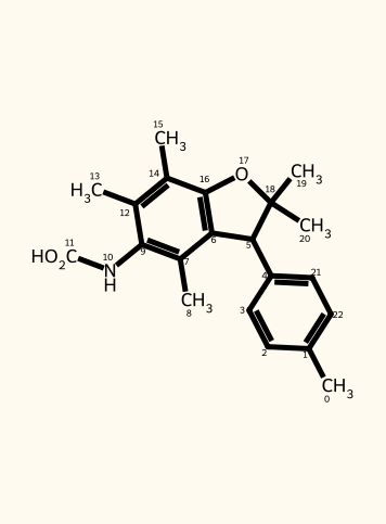 Cc1ccc(C2c3c(C)c(NC(=O)O)c(C)c(C)c3OC2(C)C)cc1